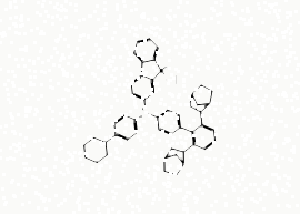 CC1(C)c2ccccc2-c2ccc(N(c3ccc(-c4c(C5CC6CCC5C6)cccc4C4CC5CCC4C5)cc3)c3ccc(C4CCCCC4)cc3)cc21